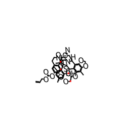 C=CCOC(=O)Oc1cc2c(cc1OC)[C@@]1(CS[C@@H]3c4c(OC(C)=O)c(C)c5c(c4[C@H](COC1=O)N1C3C(c3c(C)cc(C)c(OC)c3O)N(C)C[C@@H]1C#N)OCO5)NCC2